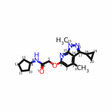 Cc1cc(OCC(=O)NC2CCCC2)nc2c1c(C1CC1)nn2C